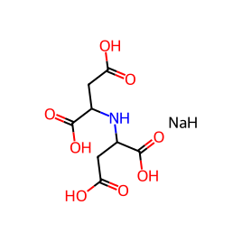 O=C(O)CC(NC(CC(=O)O)C(=O)O)C(=O)O.[NaH]